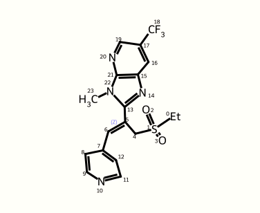 CCS(=O)(=O)C/C(=C\c1ccncc1)c1nc2cc(C(F)(F)F)cnc2n1C